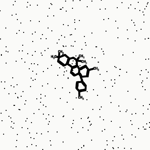 Cc1ccc(-c2cc(C)cc3c4c(ccc23)C2=C(CC(C)(C)C=C2)CC4(C)C)cc1